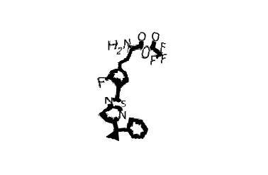 N[C@@H](CCc1ccc(-c2nc3ccc(C4(c5ccccc5)C=C4)nc3s2)c(F)c1)C(=O)OC(=O)C(F)(F)F